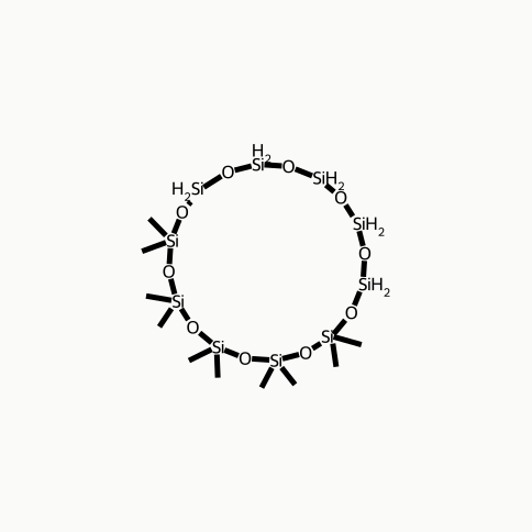 C[Si]1(C)O[SiH2]O[SiH2]O[SiH2]O[SiH2]O[SiH2]O[Si](C)(C)O[Si](C)(C)O[Si](C)(C)O[Si](C)(C)O1